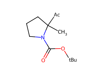 CC(=O)C1(C)CCCN1C(=O)OC(C)(C)C